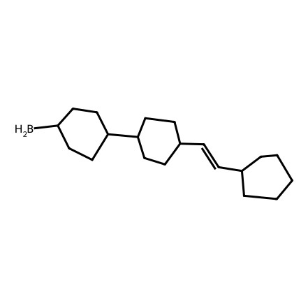 BC1CCC(C2CCC(/C=C/C3CCCCC3)CC2)CC1